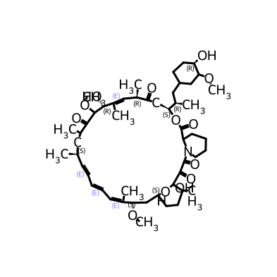 COC1CC(C[C@@H](C)[C@@H]2CC(=O)[C@H](C)/C=C(\C)[C@@H](O)C(OC)C(=O)C(C)C[C@H](C)/C=C/C=C/C=C(\C)[C@@H](OC)C[C@@H]3CCC(C)C(O)(O3)C(=O)C(=O)N3CCCCC3C(=O)O2)CC[C@H]1O